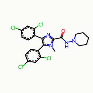 Cn1c(C(=O)NN2CCCCC2)nc(-c2ccc(Cl)cc2Cl)c1-c1ccc(Cl)cc1Cl